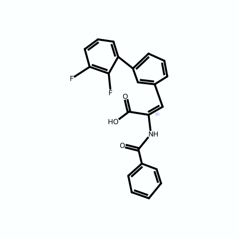 O=C(O)/C(=C\c1cccc(-c2cccc(F)c2F)c1)NC(=O)c1ccccc1